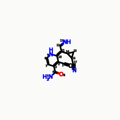 C#CC1=C(C(N)=O)C=CN/C1=C(\C=N)C1CC1C#N